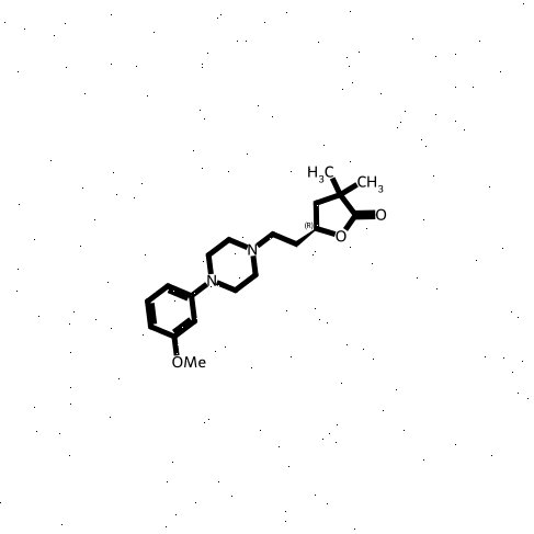 COc1cccc(N2CCN(CC[C@H]3CC(C)(C)C(=O)O3)CC2)c1